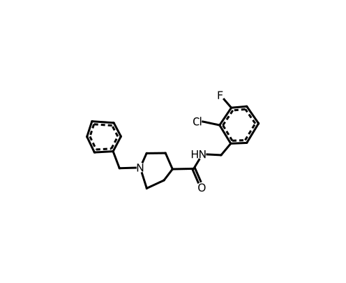 O=C(NCc1cccc(F)c1Cl)C1CCN(Cc2ccccc2)CC1